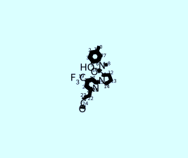 Cc1ccc(O)c(N(C)C(=O)[C@@H]2CCCN2c2cc(C(F)(F)F)cc(CC=C=O)n2)c1